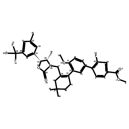 COC(=O)c1ccc(-c2ccc(OC)c(C3=C(CN4C(=O)O[C@H](c5cc(C)cc(C(F)(F)F)c5)[C@@H]4C)CC(C)(C)CC3)c2)c(F)c1